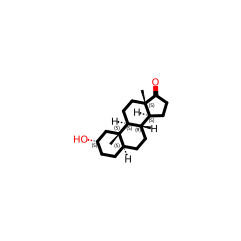 C[C@]12C[C@@H](O)CC[C@@H]1CC[C@@H]1[C@@H]2CC[C@]2(C)C(=O)CC[C@@H]12